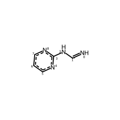 N=[C]Nc1ncccn1